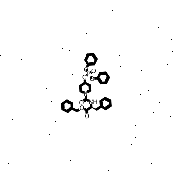 O=C(OCc1ccccc1)[C@H](Cc1ccccc1)NC(=O)N1CCC(OP(=O)(Oc2ccccc2)Oc2ccccc2)CC1